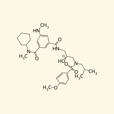 CNc1cc(C(=O)NC[C@H](O)CN(CC(C)C)S(=O)(=O)c2ccc(OC)cc2)cc(C(=O)N(C)C2CCCCC2)c1